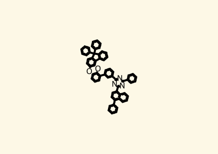 c1ccc(-c2nc(-c3cccc(-c4cccc5c4Oc4c(ccc6c4-c4ccccc4C6(c4ccccc4)c4ccccc4)O5)c3)nc(-c3ccc(-c4ccccc4)c4ccccc34)n2)cc1